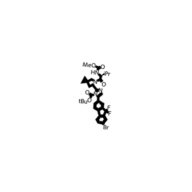 COC(=O)N[C@H](C(=O)N1CC2(CC2)CC1c1ncc(-c2ccc3c(c2)C(F)(F)c2cc(Br)ccc2-3)n1C(=O)OC(C)(C)C)C(C)C